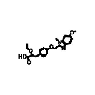 CCOC(Cc1ccc(OCc2nc3ccc(OC)cc3n2C)cc1)C(=O)O